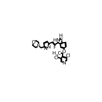 CC(Oc1ccc2c(c1)C(/C(F)=C/c1ccc(CN3CCOCC3)nn1)NN2)c1c(Cl)cncc1Cl